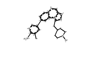 CC(=O)N1CCC(Cc2nnc3cnc4ccc(-c5cnc(N)c(C)c5)cc4n23)CC1